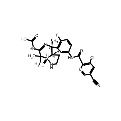 CC1(C)C(NC(=O)O)=N[C@](C)(c2cc(NC(=O)c3ncc(C#N)cc3Cl)ccc2F)[C@@H]2CCN[SH]21=O